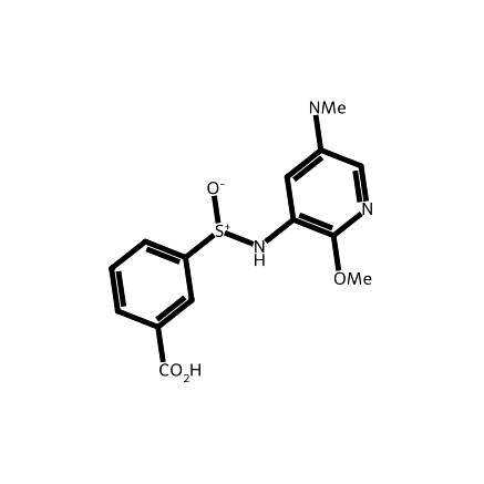 CNc1cnc(OC)c(N[S+]([O-])c2cccc(C(=O)O)c2)c1